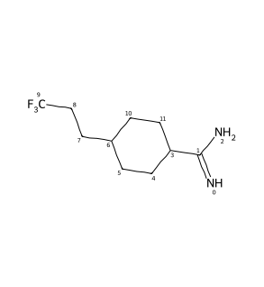 N=C(N)C1CCC(CCC(F)(F)F)CC1